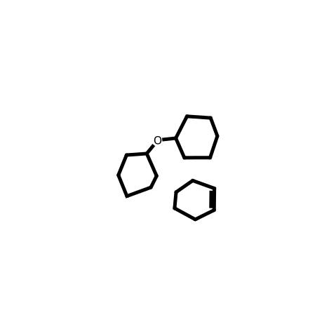 C1=CCCCC1.C1CCC(OC2CCCCC2)CC1